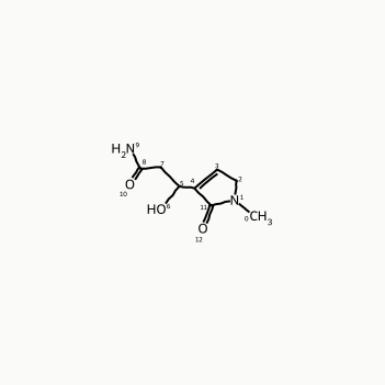 CN1CC=C(C(O)CC(N)=O)C1=O